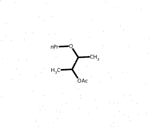 CCCOC(C)C(C)OC(C)=O